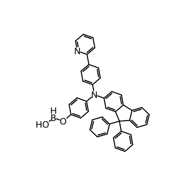 OBOc1ccc(N(c2ccc(-c3ccccn3)cc2)c2ccc3c(c2)C(c2ccccc2)(c2ccccc2)c2ccccc2-3)cc1